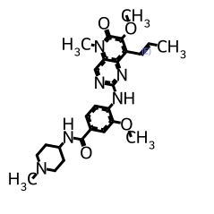 C/C=C/c1c(OC)c(=O)n(C)c2cnc(Nc3ccc(C(=O)NC4CCN(C)CC4)cc3OC)nc12